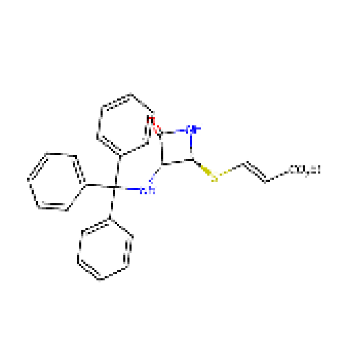 CCOC(=O)/C=C/S[C@@H]1NC(=O)[C@H]1NC(c1ccccc1)(c1ccccc1)c1ccccc1